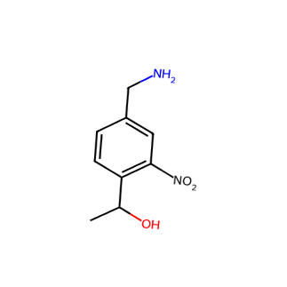 CC(O)c1ccc(CN)cc1[N+](=O)[O-]